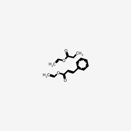 C=COC(=O)C=Cc1ccccc1.C=COC(=O)CC